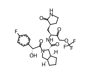 O=C1NCC[C@H]1C[C@H](NC(=O)[C@@H]1[C@H]2CCC[C@H]2CN1C(=O)[C@H](O)c1ccc(F)cc1)C(=O)COC(F)(F)F